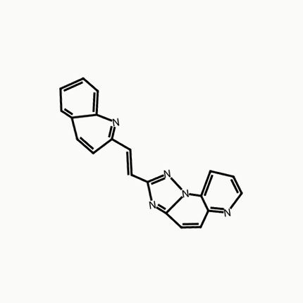 C(=Cc1nc2ccc3ncccc3n2n1)c1ccc2ccccc2n1